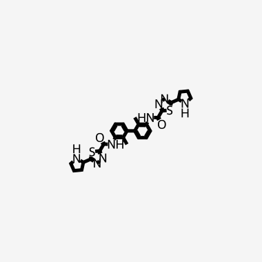 Cc1c(NC(=O)c2nnc(C3CCCN3)s2)cccc1-c1cccc(NC(=O)c2nnc(C3CCCN3)s2)c1C